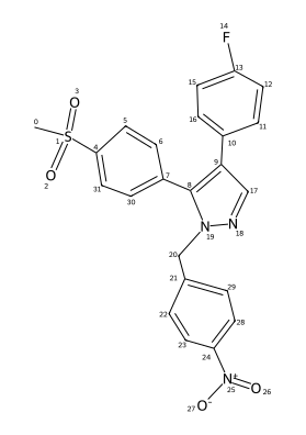 CS(=O)(=O)c1ccc(-c2c(-c3ccc(F)cc3)cnn2Cc2ccc([N+](=O)[O-])cc2)cc1